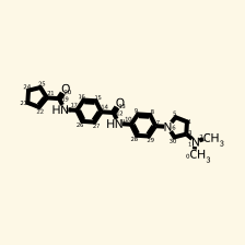 CN(C)C1CCN(c2ccc(NC(=O)c3ccc(NC(=O)C4=CCCC4)cc3)cc2)C1